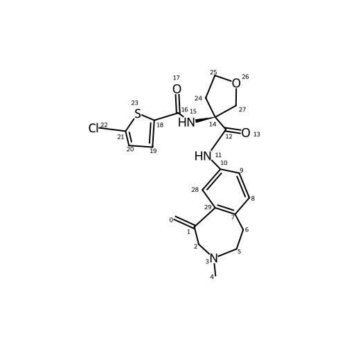 C=C1CN(C)CCc2ccc(NC(=O)[C@]3(NC(=O)c4ccc(Cl)s4)CCOC3)cc21